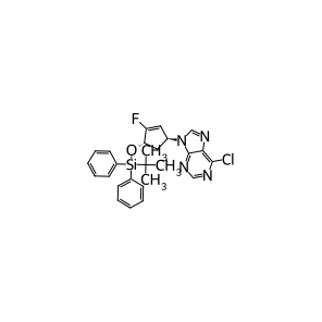 CC(C)(C)[Si](O[C@H]1C[C@H](n2cnc3c(Cl)ncnc32)C=C1F)(c1ccccc1)c1ccccc1